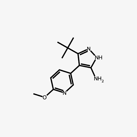 COc1ccc(-c2c(C(C)(C)C)n[nH]c2N)cn1